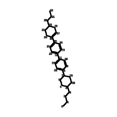 CCCCC1CCC(c2ccc(-c3ccc(C4=CCC(CCC)CC4)cc3)cc2)CC1